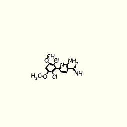 COc1cc(OC)c(Cl)c(-c2ccc(C(=N)I)c(N)n2)c1Cl